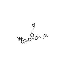 CC(CCc1ccc(C(C)(c2ccc(CCCCN3CC3C)cc2)c2ccc(CCC(O)CN3CC3C)cc2)cc1)CN1CC1C